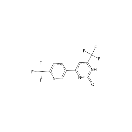 O=c1nc(-c2ccc(C(F)(F)F)nc2)cc(C(F)(F)F)[nH]1